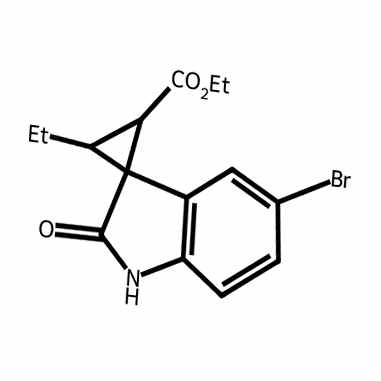 CCOC(=O)C1C(CC)C12C(=O)Nc1ccc(Br)cc12